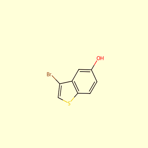 Oc1ccc2scc(Br)c2c1